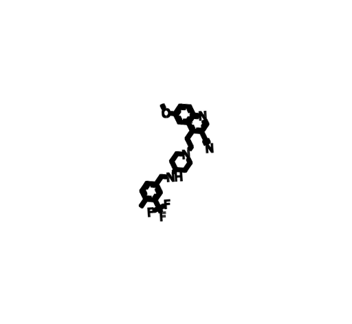 COc1ccc2ncc(C#N)c(CCN3CCC(NCc4ccc(C)c(C(F)(F)F)c4)CC3)c2c1